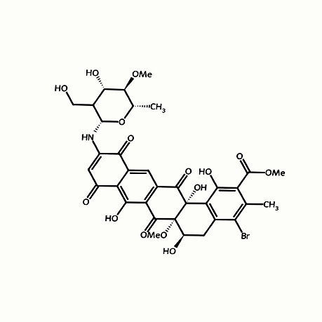 COC(=O)c1c(C)c(Br)c2c(c1O)[C@]1(O)C(=O)c3cc4c(c(O)c3C(=O)[C@]1(OC)[C@H](O)C2)C(=O)C=C(N[C@H]1O[C@@H](C)[C@H](OC)[C@@H](O)C1CO)C4=O